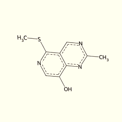 CSc1ncc(O)c2nc(C)ncc12